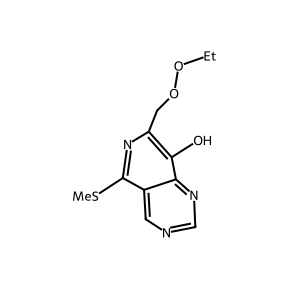 CCOOCc1nc(SC)c2cncnc2c1O